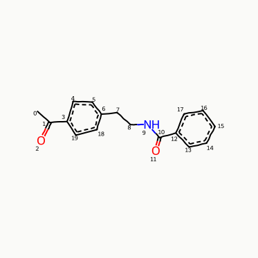 CC(=O)c1ccc(CCNC(=O)c2ccccc2)cc1